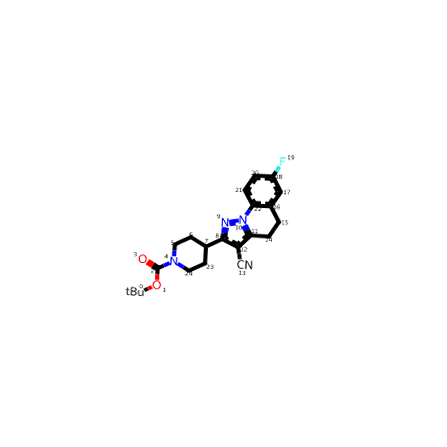 CC(C)(C)OC(=O)N1CCC(c2nn3c(c2C#N)CCc2cc(F)ccc2-3)CC1